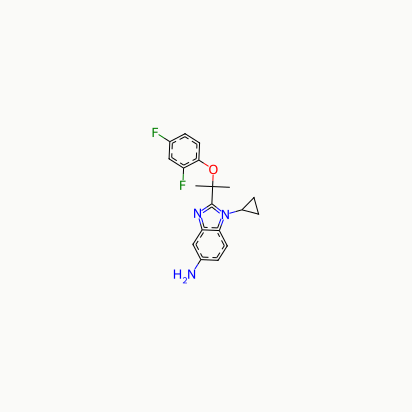 CC(C)(Oc1ccc(F)cc1F)c1nc2cc(N)ccc2n1C1CC1